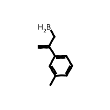 BCC(=C)c1cccc(C)c1